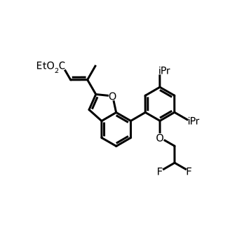 CCOC(=O)C=C(C)c1cc2cccc(-c3cc(C(C)C)cc(C(C)C)c3OCC(F)F)c2o1